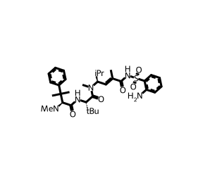 CN[C@H](C(=O)N[C@H](C(=O)N(C)[C@H](/C=C(\C)C(=O)NS(=O)(=O)c1ccccc1N)C(C)C)C(C)(C)C)C(C)(C)c1ccccc1